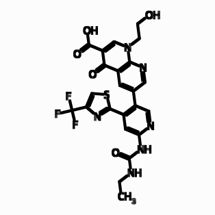 CCNC(=O)Nc1cc(-c2nc(C(F)(F)F)cs2)c(-c2cnc3c(c2)c(=O)c(C(=O)O)cn3CCO)cn1